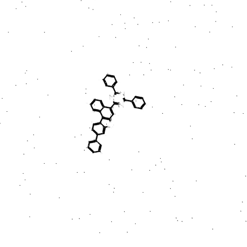 c1ccc(-c2ccc3c(c2)oc2cc(-c4nc(-c5ccccc5)nc(-c5ccccc5)n4)c4ccccc4c23)cc1